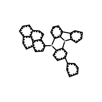 c1ccc(-c2ccc3c(c2)B2c4ccccc4-c4cccc(c42)N3c2ccc3ccc4cccc5ccc2c3c45)cc1